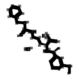 COc1cccc([C@@H](C)N[C@H](CCCNC(=O)OCc2ccccc2)C(N)=O)c1.Cl